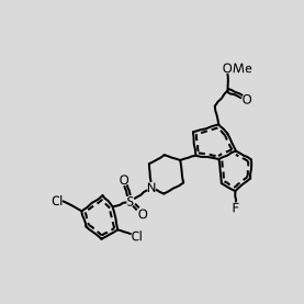 COC(=O)Cc1cc(C2CCN(S(=O)(=O)c3cc(Cl)ccc3Cl)CC2)c2cc(F)ccc2c1